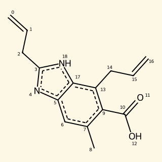 C=CCc1nc2cc(C)c(C(=O)O)c(CC=C)c2[nH]1